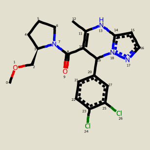 COC[C@H]1CCCN1C(=O)C1=C(C)Nc2ccnn2C1c1ccc(Cl)c(Cl)c1